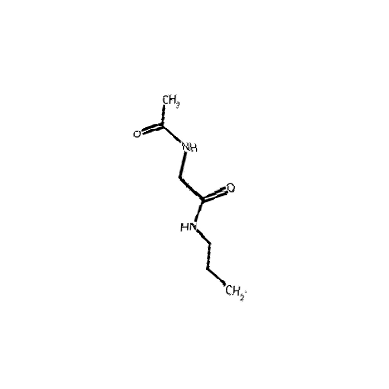 [CH2]CCNC(=O)CNC(C)=O